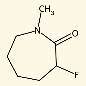 CN1CCCCC(F)C1=O